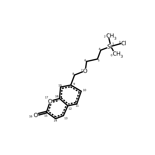 C[Si](C)(Cl)CCCOCc1ccc2ccc(=O)oc2c1